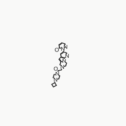 O=C(CN1CCn2c(cc3cc(-n4ncccc4=O)cnc32)C1)N1CCN(C2CCC2)CC1